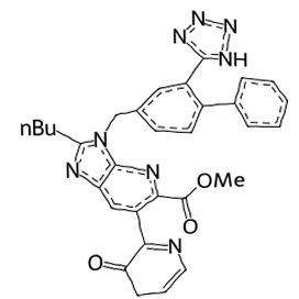 CCCCc1nc2cc(C3=NC=CCC3=O)c(C(=O)OC)nc2n1Cc1ccc(-c2ccccc2)c(-c2nnn[nH]2)c1